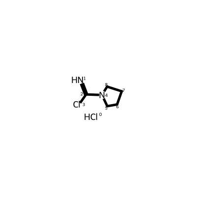 Cl.N=C(Cl)N1CCCC1